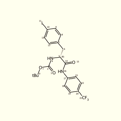 CC(C)(C)OC(=O)N[C@H](Cc1ccc(I)cc1)C(=O)Nc1ccc(C(F)(F)F)cc1